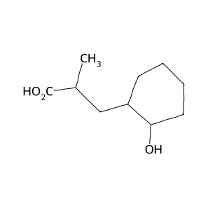 CC(CC1CCCCC1O)C(=O)O